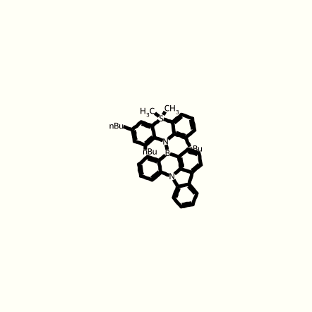 CCCCc1cc(CCCC)c2c(c1)S(C)(C)c1cccc(CCCC)c1N2B1c2ccccc2-n2c3ccccc3c3cccc1c32